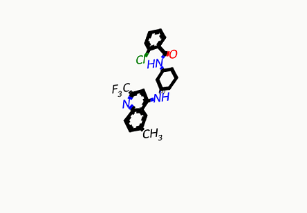 Cc1ccc2nc(C(F)(F)F)cc(N[C@H]3CCCC(NC(=O)c4ccccc4Cl)C3)c2c1